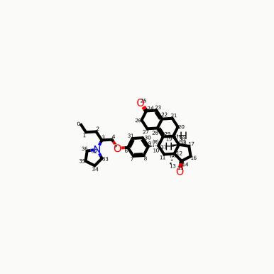 CCCC(COc1ccc([C@H]2C[C@]3(C)C(=O)CC[C@H]3[C@@H]3CCC4=CC(=O)CCC4=C32)cc1)N1CCCC1